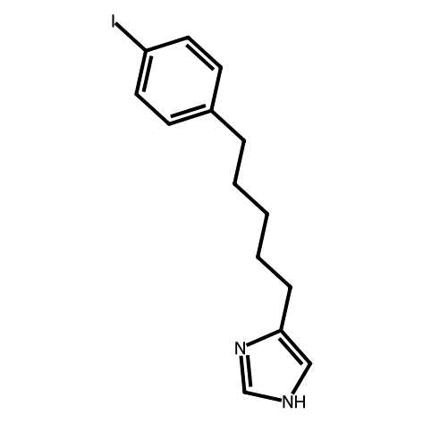 Ic1ccc(CCCCCc2c[nH]cn2)cc1